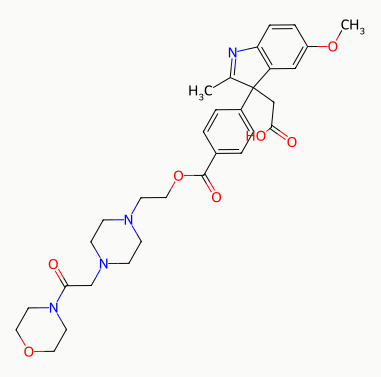 COc1ccc2c(c1)C(CC(=O)O)(c1ccc(C(=O)OCCN3CCN(CC(=O)N4CCOCC4)CC3)cc1)C(C)=N2